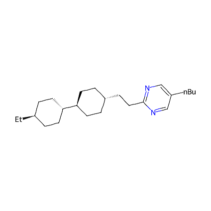 CCCCc1cnc(CC[C@H]2CC[C@H]([C@H]3CC[C@H](CC)CC3)CC2)nc1